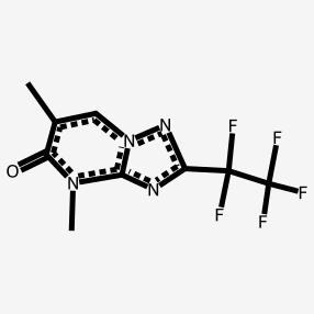 Cc1cn2nc(C(F)(F)C(F)(F)F)nc2n(C)c1=O